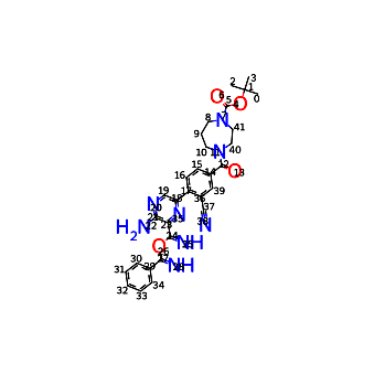 CC(C)(C)OC(=O)N1CCCN(C(=O)c2ccc(-c3cnc(N)c(C(=N)OC(=N)c4ccccc4)n3)c(C#N)c2)CC1